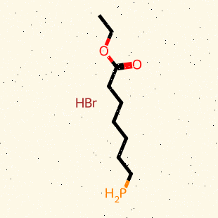 Br.CCOC(=O)CCCCCCP